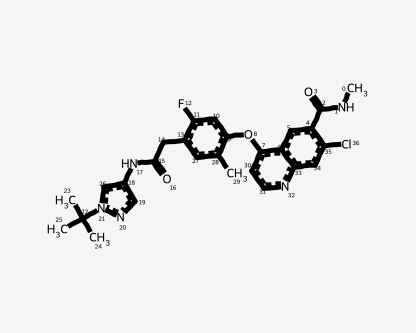 CNC(=O)c1cc2c(Oc3cc(F)c(CC(=O)Nc4cnn(C(C)(C)C)c4)cc3C)ccnc2cc1Cl